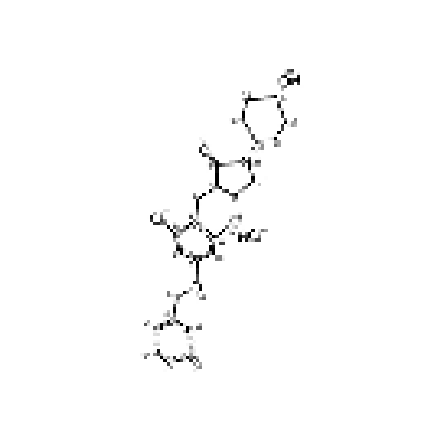 Cl.O=C1C(Cc2c(Cl)cc(OCc3cccnc3)cc2Cl)CCN1[C@H]1CC[C@@H](O)CC1